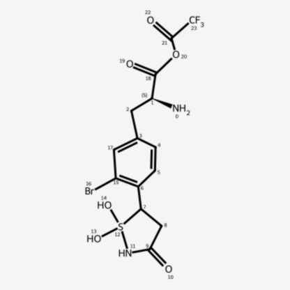 N[C@@H](Cc1ccc(C2CC(=O)NS2(O)O)c(Br)c1)C(=O)OC(=O)C(F)(F)F